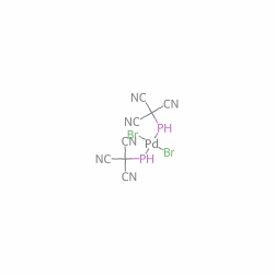 N#CC(C#N)(C#N)[PH][Pd]([Br])([Br])[PH]C(C#N)(C#N)C#N